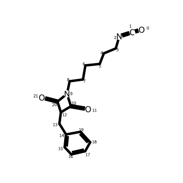 O=C=NCCCCCCN1C(=O)C(Cc2ccccc2)C1=O